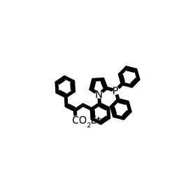 CCOC(=O)/C(=C/c1ccccc1)Cc1ccccc1-n1cccc1P(c1ccccc1)c1ccccc1